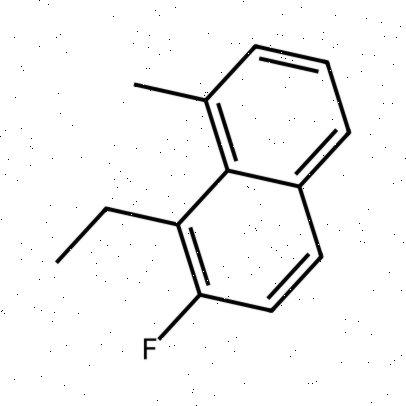 CCc1c(F)ccc2cccc(C)c12